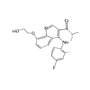 Cc1cc(F)ccc1Nc1c(C(=O)C(C)C)cnc2c(OCCO)cccc12